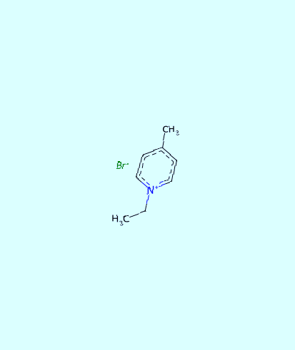 CC[n+]1ccc(C)cc1.[Br-]